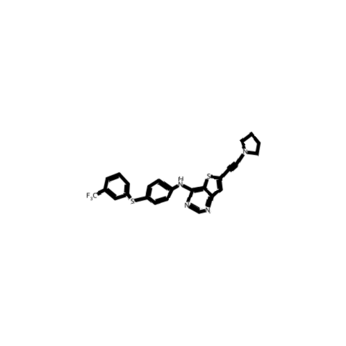 FC(F)(F)c1cccc(Sc2ccc(Nc3ncnc4cc(C#CN5CCCC5)sc34)cc2)c1